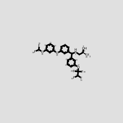 O[C@H](CNC(c1cccc(Oc2cccc(OC(F)F)c2)c1)c1cccc(OC(F)(F)C(F)F)c1)C(F)(F)F